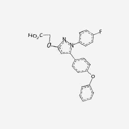 O=C(O)COc1cc(-c2ccc(Oc3ccccc3)cc2)n(-c2ccc(F)cc2)n1